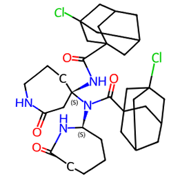 O=C1C[C@@](NC(=O)C23CC4CC(CC(Cl)(C4)C2)C3)(N(C(=O)C23CC4CC(CC(Cl)(C4)C2)C3)[C@H]2CCCCC(=O)N2)CCCN1